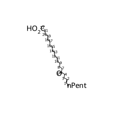 CCCCC/C=C/CCC(=O)CCCCCCCCCCCCCCCC(=O)O